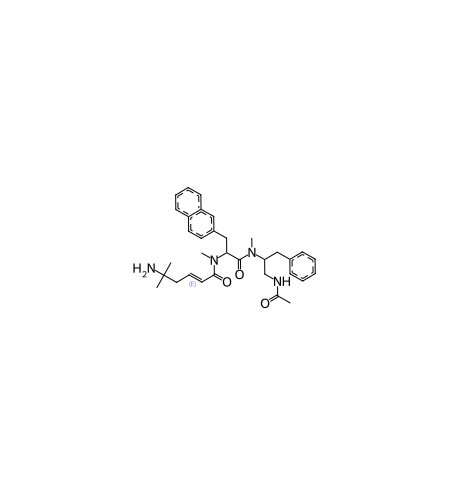 CC(=O)NCC(Cc1ccccc1)N(C)C(=O)C(Cc1ccc2ccccc2c1)N(C)C(=O)/C=C/CC(C)(C)N